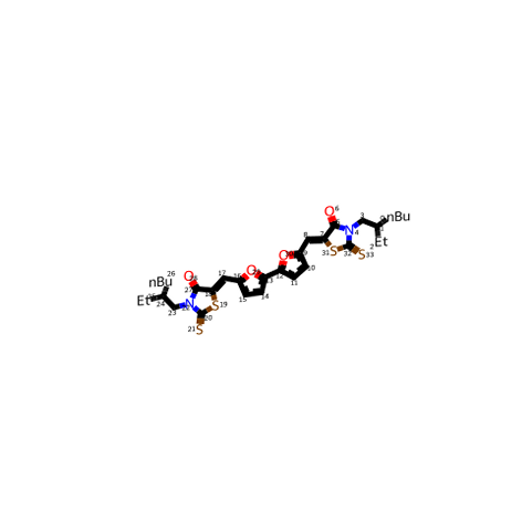 CCCCC(CC)CN1C(=O)/C(=C/c2ccc(-c3ccc(/C=C4\SC(=S)N(CC(CC)CCCC)C4=O)o3)o2)SC1=S